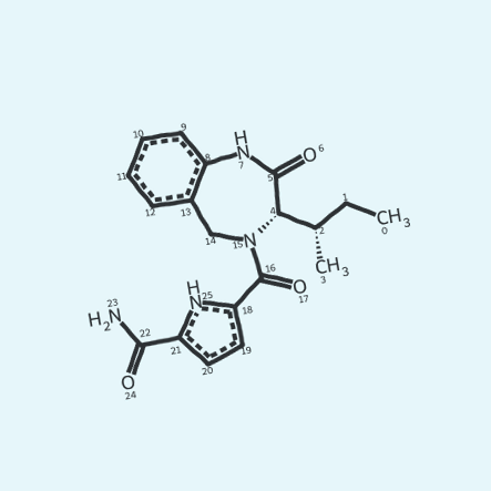 CC[C@H](C)[C@H]1C(=O)Nc2ccccc2CN1C(=O)c1ccc(C(N)=O)[nH]1